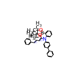 C=C/C(=C\C=C\c1ccccc1)N(c1ccc(-c2ccccc2)cc1)c1ccccc1B1OC(C)(C)C(C)(C)O1